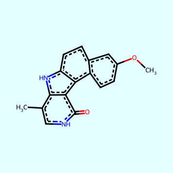 COc1ccc2c(ccc3[nH]c4c(C)c[nH]c(=O)c4c32)c1